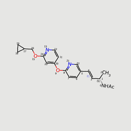 CC(=O)N[C@@H](C)/C=C/c1ccc(Oc2ccnc(OCC3CC3)c2)nc1